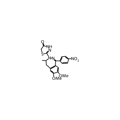 COc1cc2c(cc1OC)C(c1ccc([N+](=O)[O-])cc1)=NN(C1=NNC(=O)CS1)C(C)C2